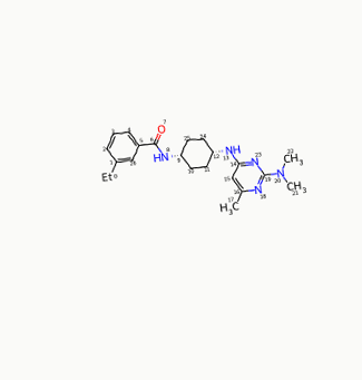 CCc1cccc(C(=O)N[C@H]2CC[C@@H](Nc3cc(C)nc(N(C)C)n3)CC2)c1